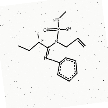 C=CCN(C(=Nc1ccccc1)[C@@H](C)CC)P(=O)(S)NC